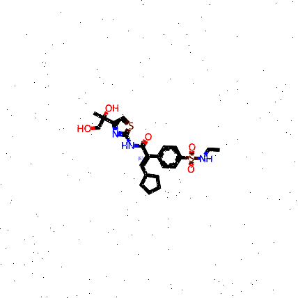 CCNS(=O)(=O)c1ccc(/C(=C\C2CCCC2)C(=O)Nc2nc(C(C)(O)CO)cs2)cc1